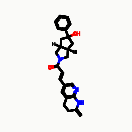 C=C1CCc2cc(/C=C/C(=O)N3C[C@@H]4CC(O)(c5ccccc5)C[C@@H]4C3)cnc2N1